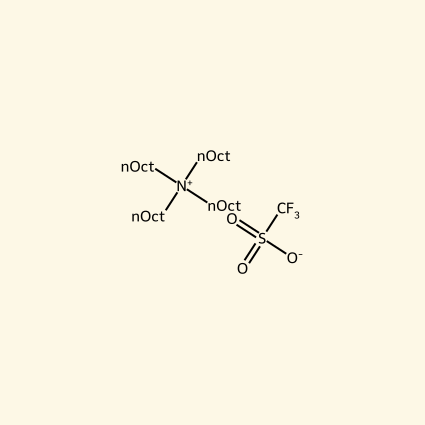 CCCCCCCC[N+](CCCCCCCC)(CCCCCCCC)CCCCCCCC.O=S(=O)([O-])C(F)(F)F